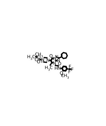 CCc1c(N2CCN(C(=O)OC(C)(C)C)CC2)c(=O)n2nc(C3=CCCCCC3)nc2n1CC(=O)Nc1ccc(C(F)(F)F)cc1OC